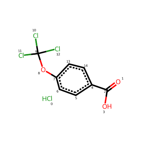 Cl.O=C(O)c1ccc(OC(Cl)(Cl)Cl)cc1